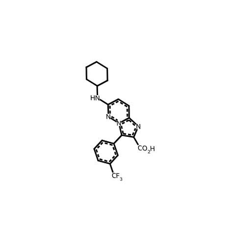 O=C(O)c1nc2ccc(NC3CCCCC3)nn2c1-c1cccc(C(F)(F)F)c1